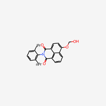 CCCc1cccc(C(C)C)c1N1C(=O)c2cccc3c(OCO)ccc(c23)C1=O